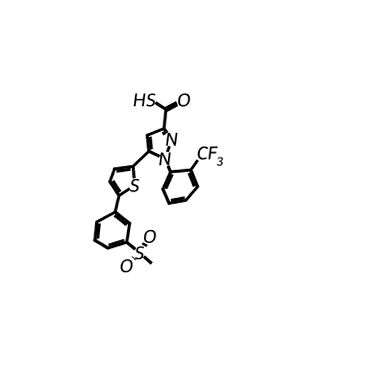 CS(=O)(=O)c1cccc(-c2ccc(-c3cc(C(=O)S)nn3-c3ccccc3C(F)(F)F)s2)c1